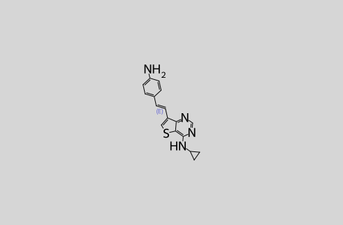 Nc1ccc(/C=C/c2csc3c(NC4CC4)ncnc23)cc1